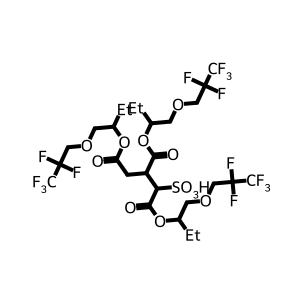 CCC(COCC(F)(F)C(F)(F)F)OC(=O)CC(C(=O)OC(CC)COCC(F)(F)C(F)(F)F)C(C(=O)OC(CC)COCC(F)(F)C(F)(F)F)S(=O)(=O)O